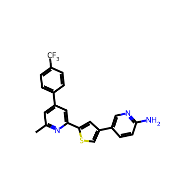 Cc1cc(-c2ccc(C(F)(F)F)cc2)cc(-c2cc(-c3ccc(N)nc3)cs2)n1